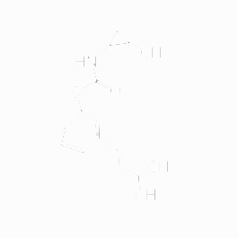 CC(C)CSc1cccc(SC(=O)NC2CC2C)c1